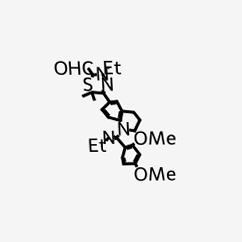 CCN=C(c1ccc(OC)cc1OC)N1CCCc2cc(C3=NN(CC)C(C=O)SC3(C)C)ccc21